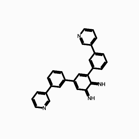 N=C1C=C(c2cccc(-c3cccnc3)c2)C=C(c2cccc(-c3cccnc3)c2)C1=N